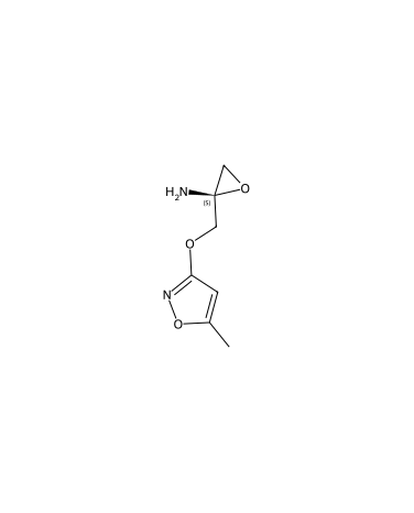 Cc1cc(OC[C@]2(N)CO2)no1